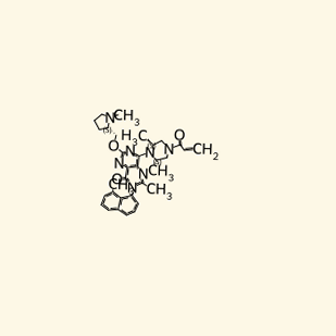 C=CC(=O)N1C[C@H](C)N(c2nc(OC[C@@H]3CCCN3C)nc3c(=O)n(-c4cccc5cccc(C)c45)c(C)nc23)[C@@H](C)C1